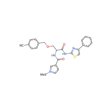 CSn1ccc(C(=O)NC(COCc2ccc(C#N)cc2)C(=O)Nc2nc(-c3ccccc3)cs2)c1